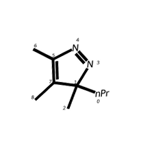 [CH2]CCC1(C)N=NC(C)=C1C